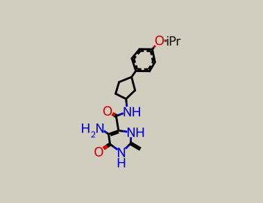 C=C1NC(=O)C(N)=C(C(=O)NC2CCC(c3ccc(OC(C)C)cc3)C2)N1